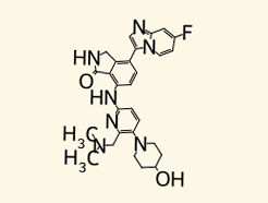 CN(C)Cc1nc(Nc2ccc(-c3cnc4cc(F)ccn34)c3c2C(=O)NC3)ccc1N1CCC(O)CC1